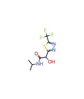 CC(C)NC(=O)C(O)c1nnc(C(F)(F)F)s1